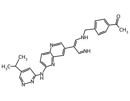 CC(=O)c1ccc(CN/C=C(\C=N)c2cnc3ccc(Nc4cc(C(C)C)cnn4)nc3c2)cc1